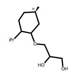 CC(C)C1CC[C@@H](C)CC1OCC(O)CO